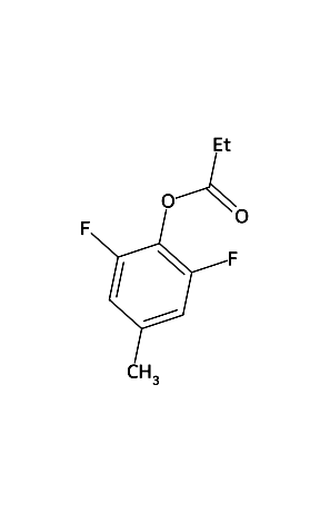 CCC(=O)Oc1c(F)cc(C)cc1F